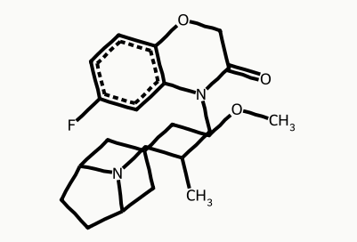 COCCC1CC2CCC(C1)N2CC(C)CN1C(=O)COc2ccc(F)cc21